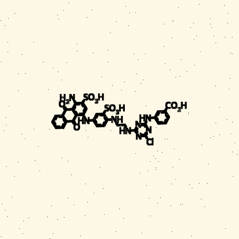 Nc1c(S(=O)(=O)O)cc(Nc2ccc(NCCNc3nc(Cl)nc(Nc4cccc(C(=O)O)c4)n3)c(S(=O)(=O)O)c2)c2c1C(=O)c1ccccc1C2=O